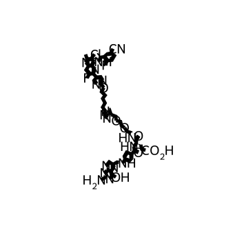 Cc1nc2cc(F)c(-c3cnc(OCCCCCn4cc(COCCOCCNC(=O)[C@H](CCC(=O)O)NC(=O)c5ccc(NCc6cnc7nc(N)nc(O)c7n6)cc5)nn4)nc3)nc2c(N[C@@H](C)c2cc(C#N)ccc2F)c1Cl